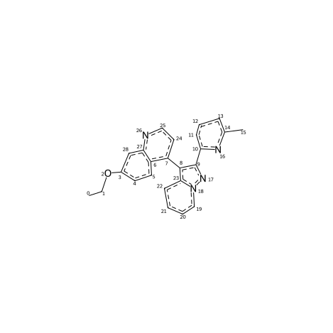 CCOc1ccc2c(-c3c(-c4cccc(C)n4)nn4ccccc34)ccnc2c1